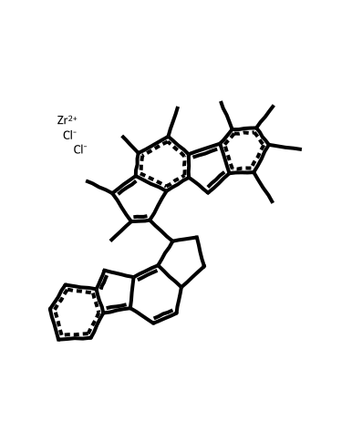 CC1=C(C2CCC3C=CC4=c5ccccc5=CC4=C32)c2c3c(c(C)c(C)c2=C1C)=c1c(C)c(C)c(C)c(C)c1=C3.[Cl-].[Cl-].[Zr+2]